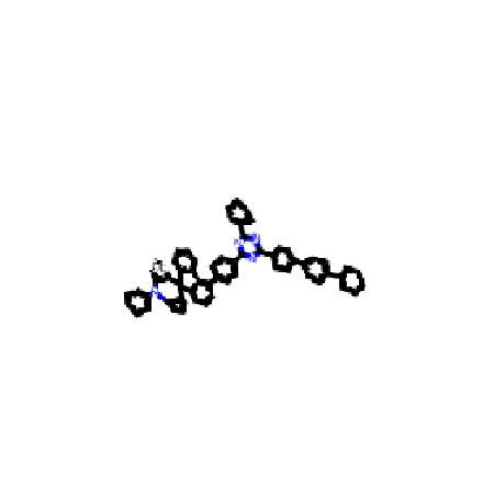 c1ccc(-c2ccc(-c3ccc(-c4nc(-c5ccccc5)nc(-c5ccc(-c6cccc7c6-c6ccccc6C76c7ccccc7N(c7ccccc7)c7ccccc76)cc5)n4)cc3)cc2)cc1